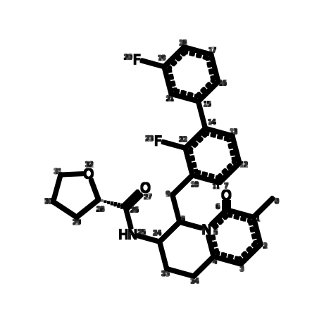 Cc1ccc2n(c1=O)C(Cc1cccc(-c3cccc(F)c3)c1F)C(NC(=O)[C@@H]1CCCO1)CC2